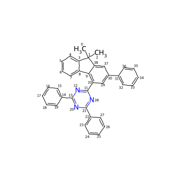 CC1(C)c2ccccc2-c2c(-c3nc(-c4ccccc4)nc(-c4ccccc4)n3)cc(-c3ccccc3)cc21